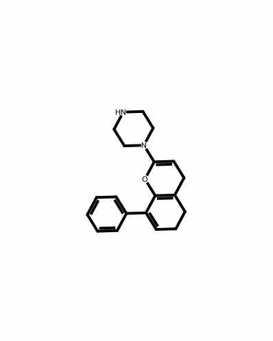 C1=C(c2ccccc2)C2=C(CC=C(N3CCNCC3)O2)CC1